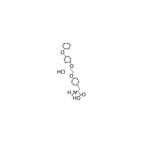 Cl.N[C@@H](Cc1ccc(OCCOc2ccc(Oc3ccccc3)cc2)cc1)C(=O)O